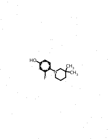 CC1(C)CCCN(c2ccc(O)[c]c2F)C1